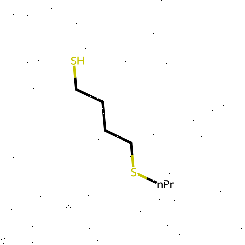 CCCSCCCCS